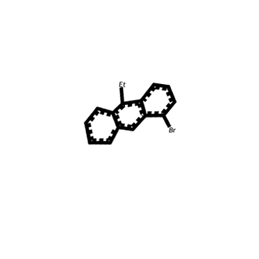 CCc1c2ccccc2cc2c(Br)cccc12